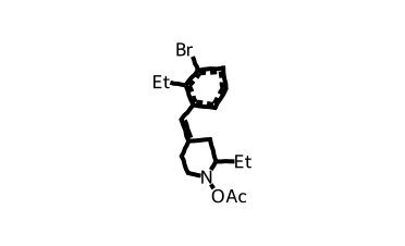 CCc1c(Br)cccc1C=C1CCN(OC(C)=O)C(CC)C1